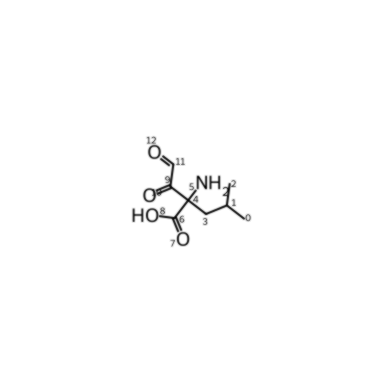 CC(C)CC(N)(C(=O)O)C(=O)C=O